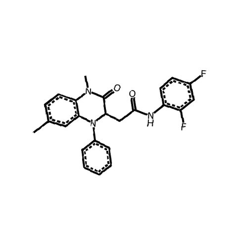 Cc1ccc2c(c1)N(c1ccccc1)C(CC(=O)Nc1ccc(F)cc1F)C(=O)N2C